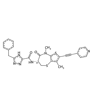 Cc1c(C#Cc2ccncc2)sc2c1SC[C@H](NC(=O)c1nnc(Cc3ccccc3)[nH]1)C(=O)N2C